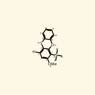 COc1cc(F)c2c(c1[Si](C)(C)C)Oc1ccccc1S2